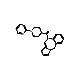 O=C(C1CCN(c2ccccn2)CC1)N1C=C2CC=CN2Cc2ccccc21